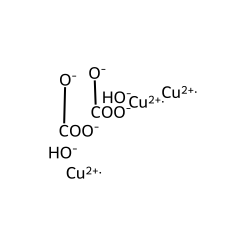 O=C([O-])[O-].O=C([O-])[O-].[Cu+2].[Cu+2].[Cu+2].[OH-].[OH-]